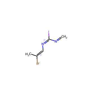 C=N/C(I)=N\C=C(/C)Br